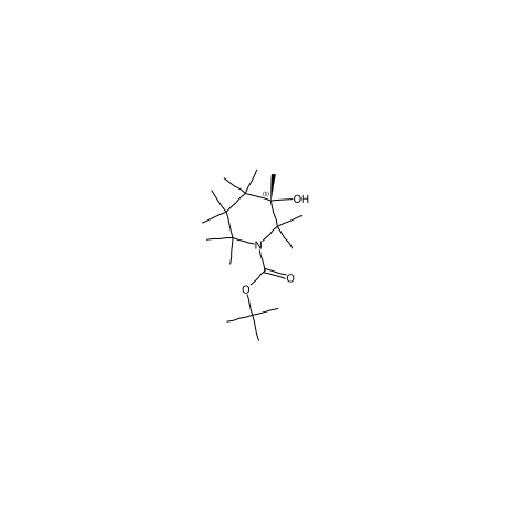 CC(C)(C)OC(=O)N1C(C)(C)C(C)(C)C(C)(C)[C@](C)(O)C1(C)C